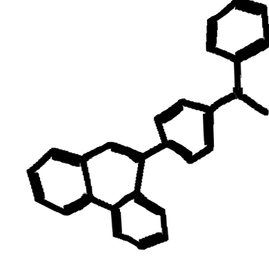 CN(c1ccccc1)c1ccc(-c2cc3ccccc3c3ccccc23)cc1